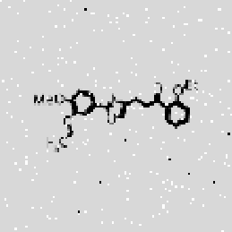 CCOc1ccccc1C(=O)CCc1coc(-c2ccc(OC)c(OCC(F)(F)F)c2)n1